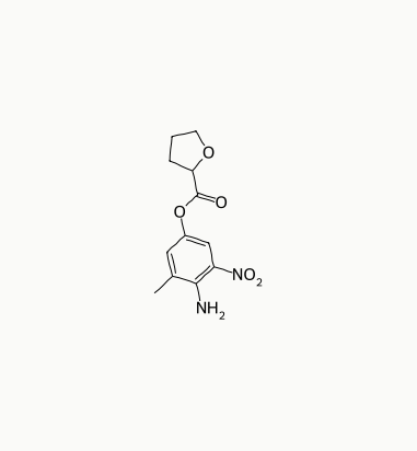 Cc1cc(OC(=O)C2CCCO2)cc([N+](=O)[O-])c1N